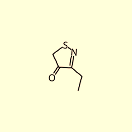 CCC1=NSCC1=O